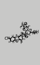 CN(C)S(=O)(=O)N(C)CCN(CC(=O)NO)S(=O)(=O)c1cc(F)c(Oc2ccc(Cl)cc2)c(F)c1